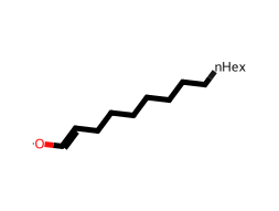 CCCCCCCCCCCCCC=C[O]